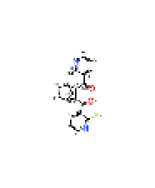 O=C(c1cccnc1F)C1C2C=CC(C2)C1C(=O)c1cccnc1F